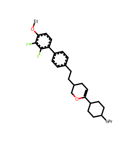 CCCC1CCC(C2=CCC(CCc3ccc(-c4ccc(OCC)c(F)c4F)cc3)CO2)CC1